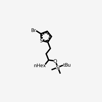 CCCCCCC(CCc1ccc(Br)s1)O[Si](C)(C)C(C)(C)C